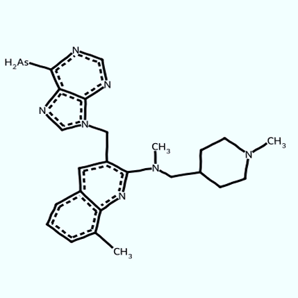 Cc1cccc2cc(Cn3cnc4c([AsH2])ncnc43)c(N(C)CC3CCN(C)CC3)nc12